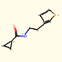 O=C(NCCc1ccsc1)C1CC1